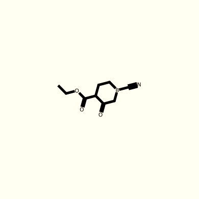 CCOC(=O)C1CCB(C#N)CC1=O